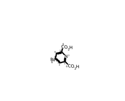 O=C(O)c1cccc(C(=O)O)n1.[BiH3]